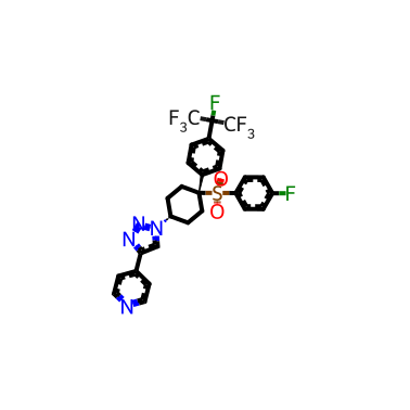 O=S(=O)(c1ccc(F)cc1)[C@]1(c2ccc(C(F)(C(F)(F)F)C(F)(F)F)cc2)CC[C@H](n2cc(-c3ccncc3)nn2)CC1